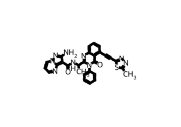 Cc1nnc(C#Cc2cccc3nc(C(C)NC(=O)c4c(N)nn5cccnc45)n(-c4ccccc4)c(=O)c23)s1